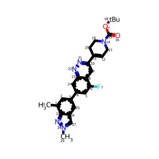 Cc1cc(-c2cc(F)c3cc(C4=CCN(C(=O)OC(C)(C)C)CC4)nnc3c2)cc2cn(C)nc12